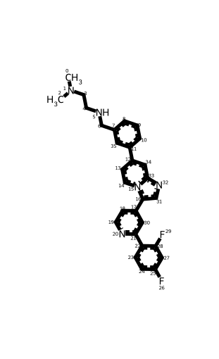 CN(C)CCNCc1cccc(-c2ccn3c(-c4ccnc(-c5ccc(F)cc5F)c4)cnc3c2)c1